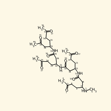 CNC(CCC(C)=O)CC(=O)NC(CCC(C)=O)CC(=O)NC(CCC(C)=O)CC(=O)NC(CCC(C)=O)CC(C)=O